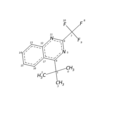 CC(C)(C)c1nc(C(F)(F)F)nc2ccccc12